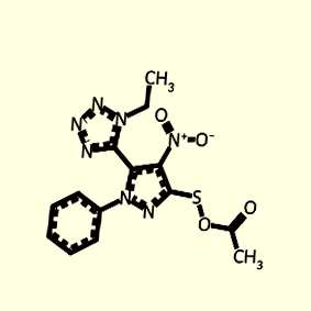 CCn1nnnc1-c1c([N+](=O)[O-])c(SOC(C)=O)nn1-c1ccccc1